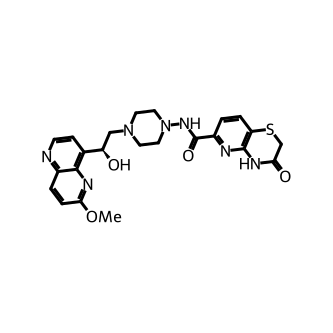 COc1ccc2nccc([C@H](O)CN3CCN(NC(=O)c4ccc5c(n4)NC(=O)CS5)CC3)c2n1